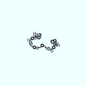 O=C(c1ccc(NS(=O)(=O)c2cccc3cccnc23)cc1)N1CCN(CCc2cccc(CCOc3ccc(CN4CCN(C(=O)c5ccc(NS(=O)(=O)c6cccc7cccnc67)cc5)CC4)cc3)c2)CC1